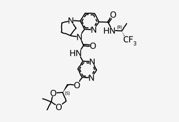 C[C@@H](NC(=O)c1ccc2c(n1)N(C(=O)Nc1cc(OC[C@H]3COC(C)(C)O3)ncn1)C1CCN2C1)C(F)(F)F